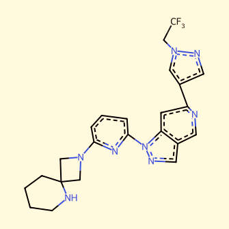 FC(F)(F)Cn1cc(-c2cc3c(cn2)cnn3-c2cccc(N3CC4(CCCCN4)C3)n2)cn1